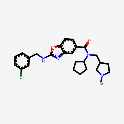 CC(=O)N1CCC(CN(C(=O)c2ccc3oc(NCc4cccc(Cl)c4)nc3c2)C2CCCC2)C1